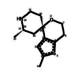 Cc1cc2c(s1)CCO[C@@]21CCN[C@@H](C)C1